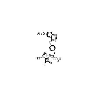 CCCN(CCC)c1c(N[C@@H](Cc2ccc(Oc3ncnc4ccc(OC)cc34)cc2)C(=O)O)c(=O)c1=O